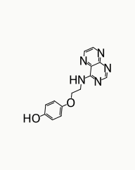 Oc1ccc(OCCNc2ncnc3nccnc23)cc1